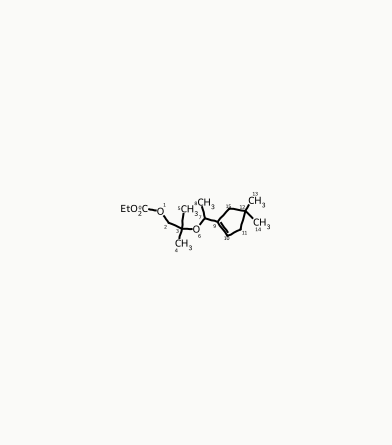 CCOC(=O)OCC(C)(C)OC(C)C1=CCC(C)(C)C1